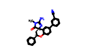 CN1C(=O)[C@@]2(C[C@H](c3ccccc3)Oc3ccc(-c4cccc(C#N)c4)cc32)N=C1N